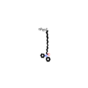 CCCCCC=CCC=CCC=CCC=CCCCC(=O)N(c1ccccc1)c1ccccc1